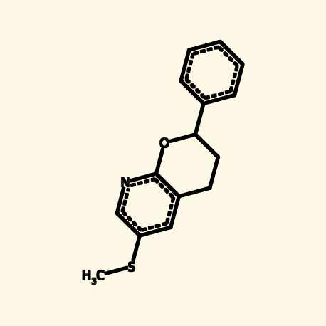 CSc1cnc2c(c1)CCC(c1ccccc1)O2